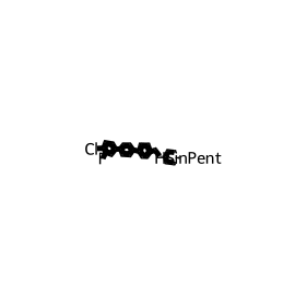 CCCCC[Si@H]1CC[C@H](CCc2ccc(-c3ccc(-c4ccc(Cl)c(F)c4)cc3)cc2)CC1